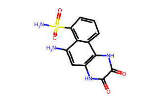 Nc1cc2[nH]c(=O)c(=O)[nH]c2c2cccc(S(N)(=O)=O)c12